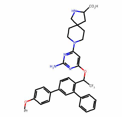 CC(C)Oc1ccc(-c2ccc(C(Oc3cc(N4CCC5(CC4)CNC(C(=O)O)C5)nc(N)n3)C(F)(F)F)c(-c3ccccc3)c2)cc1